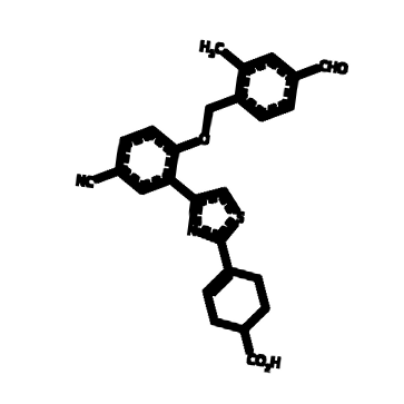 Cc1cc(C=O)ccc1COc1ccc(C#N)cc1-c1csc(C2=CCC(C(=O)O)CC2)n1